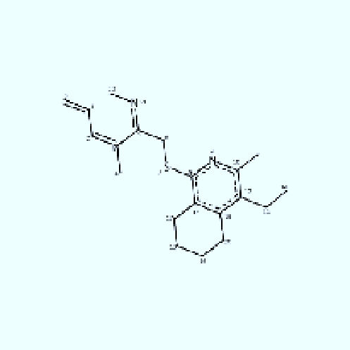 C=C/C=C(C)\C(CSc1nc(C)c(CC)c2c1CCCC2)=N/C